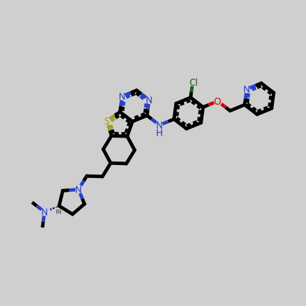 CN(C)[C@H]1CCN(CCC2CCc3c(sc4ncnc(Nc5ccc(OCc6ccccn6)c(Cl)c5)c34)C2)C1